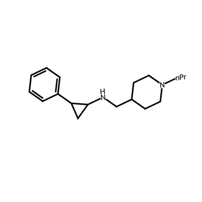 [CH2]CCN1CCC(CNC2CC2c2ccccc2)CC1